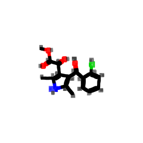 COC(=O)C(=O)c1c(C)[nH]c(C)c1C(=O)c1ccccc1Cl